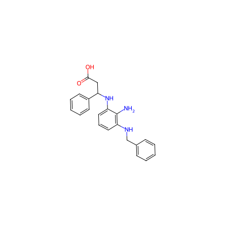 Nc1c(NCc2ccccc2)cccc1NC(CC(=O)O)c1ccccc1